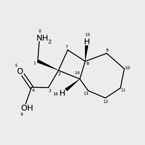 NC[C@@]1(CC(=O)O)C[C@@H]2CCCCC[C@@H]21